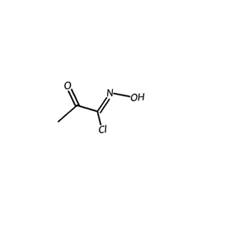 CC(=O)C(Cl)=NO